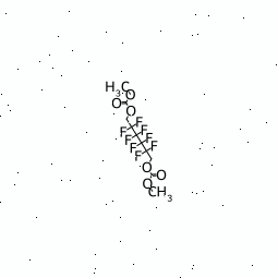 COC(=O)OCC(F)(F)C(F)(F)C(F)(F)C(F)(F)COC(=O)OC